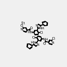 CCOc1cc(C(=O)Nc2ccc(Cl)c(-c3ncc(-c4ccccc4)[nH]3)c2)ccn1.O=C(Nc1ccc(Cl)c(-c2ncc(-c3ccccc3)[nH]2)c1)c1ccnc(Cl)c1